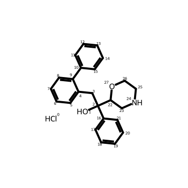 Cl.OC(Cc1ccccc1-c1ccccc1)(c1ccccc1)C1CNCCO1